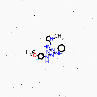 CCN1CCC[C@@H]1CNc1nc(Nc2ccc(OC)c(F)c2)nc(NC2CCCCCC2)n1